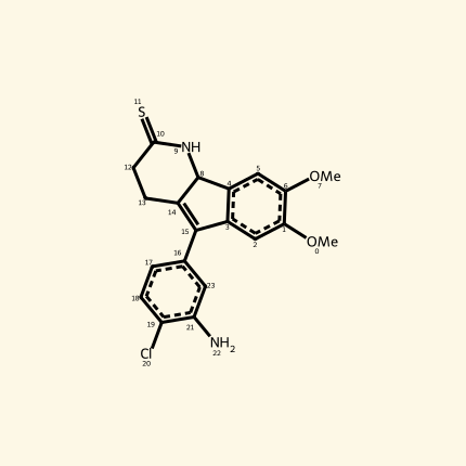 COc1cc2c(cc1OC)C1NC(=S)CCC1=C2c1ccc(Cl)c(N)c1